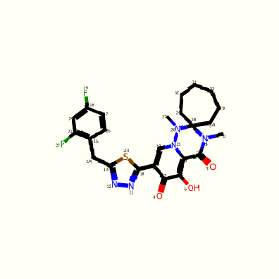 CN1C(=O)c2c(O)c(=O)c(-c3nnc(Cc4ccc(F)cc4F)s3)cn2N(C)C12CCCCCC2